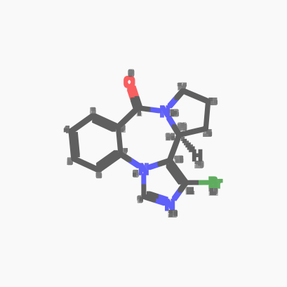 O=C1c2ccccc2-n2cnc(Br)c2[C@@H]2CCCN12